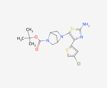 CC(C)(C)OC(=O)N1CC2CC1CN2c1sc(N)nc1-c1cc(Cl)cs1